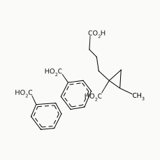 CC1CC1(CCCC(=O)O)C(=O)O.O=C(O)c1ccccc1.O=C(O)c1ccccc1